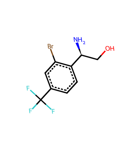 N[C@@H](CO)c1ccc(C(F)(F)F)cc1Br